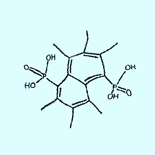 Cc1c(C)c(P(=O)(O)O)c2c(C)c(C)c(C)c(P(=O)(O)O)c2c1C